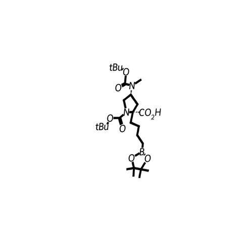 CN(C(=O)OC(C)(C)C)[C@H]1CN(C(=O)OC(C)(C)C)[C@@](CCCCB2OC(C)(C)C(C)(C)O2)(C(=O)O)C1